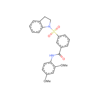 COc1ccc(NC(=O)c2cccc(S(=O)(=O)N3CCc4ccccc43)c2)c(OC)c1